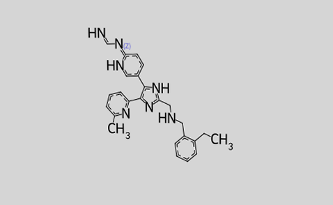 CCc1ccccc1CNCc1nc(-c2cccc(C)n2)c(-c2cc/c(=N/C=N)[nH]c2)[nH]1